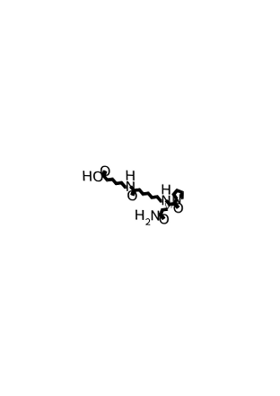 NC(=O)CC[C@H](NCCCCCCC(=O)NCCCCCC(=O)O)C(=O)N1CCCC1